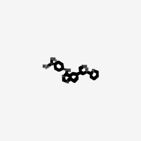 CN(C)[C@H]1CC[C@H](Nc2ncnc3ccc(/C(C=N)=C/NC4CCCCO4)cc23)CC1